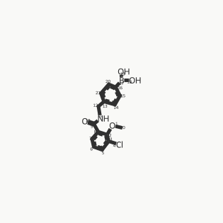 COc1c(Cl)cccc1C(=O)NCc1ccc(B(O)O)cc1